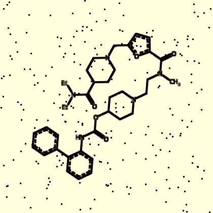 CCN(CC)C(=O)C1CCN(Cc2ccc(C(=O)N(C)CCN3CCC(OC(=O)Nc4ccccc4-c4ccccc4)CC3)o2)CC1